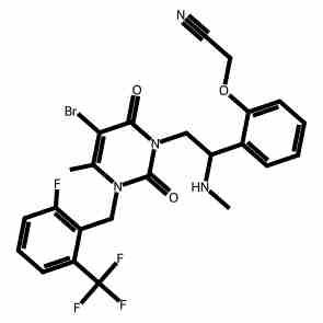 CNC(Cn1c(=O)c(Br)c(C)n(Cc2c(F)cccc2C(F)(F)F)c1=O)c1ccccc1OCC#N